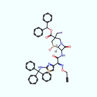 C#CCON=C(C(=O)NC1C(=O)N2CC(CI)(C(=O)OC(c3ccccc3)c3ccccc3)C[S+]([O-])[C@H]12)c1csc(NC(c2ccccc2)(c2ccccc2)c2ccccc2)n1